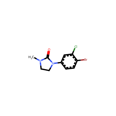 CN1CCN(c2ccc(Br)c(Cl)c2)C1=O